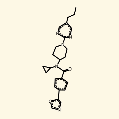 CCCc1cnc(N2CCC(N(C(=O)c3ccc(-c4cnco4)cc3)C3CC3)CC2)nc1